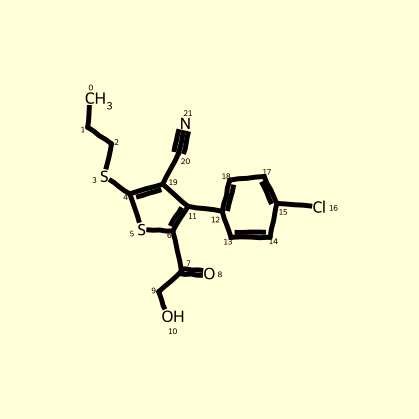 CCCSc1sc(C(=O)CO)c(-c2ccc(Cl)cc2)c1C#N